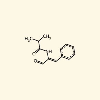 CC(C)C(=O)NC([C]=O)=Cc1ccccc1